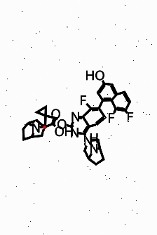 O=C(O)C1CC2CCC(C1)N2CC1(COc2nc(N3CC4CCC(C3)N4)c3ccc(-c4cc(O)cc5ccc(F)c(F)c45)c(F)c3n2)CC1